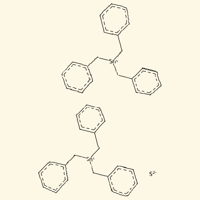 [S-2].c1ccc([CH2][Sn+]([CH2]c2ccccc2)[CH2]c2ccccc2)cc1.c1ccc([CH2][Sn+]([CH2]c2ccccc2)[CH2]c2ccccc2)cc1